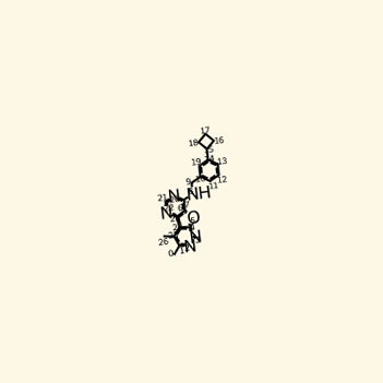 Cc1nnc2oc3c(NCc4cccc(C5CCC5)c4)ncnc3c2c1C